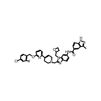 Cc1n[nH]c2ccc(C(=O)Nc3ccc4nc(CN5CC=C(c6cccc(OCc7ccc(Cl)cc7F)n6)CC5)n(CC5CCO5)c4c3)cc12